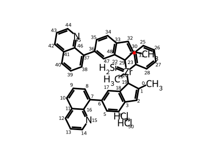 CC1=Cc2ccc(-c3cccc4cccnc34)cc2[CH]1[Zr]([CH3])(=[SiH2])([c]1ccccc1)[CH]1C(C)=Cc2ccc(-c3cccc4cccnc34)cc21.Cl.Cl